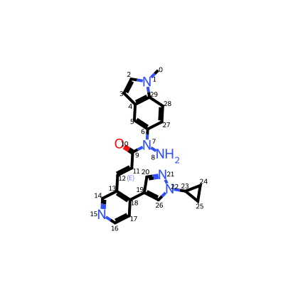 Cn1ccc2cc(N(N)C(=O)/C=C/c3cnccc3-c3cnn(C4CC4)c3)ccc21